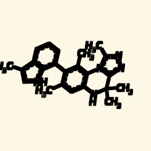 Cc1cc2c(c(C)c1-c1cccc3c(C)c[nH]c13)-n1c(C)nnc1C(C)(C)N2